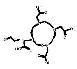 O=CCC[C@@H](C(=O)O)N1CCN(CC(=O)O)CCN(CC(=O)O)CCN(CC(=O)O)CC1